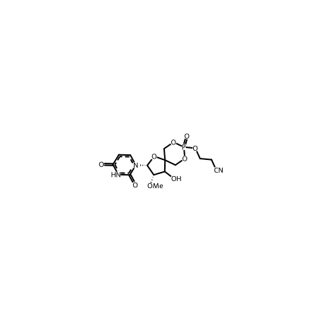 CO[C@H]1C(O)C2(COP(=O)(OCCC#N)OC2)O[C@H]1n1ccc(=O)[nH]c1=O